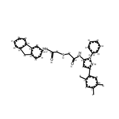 Cc1cc(C)c(-c2cc(NC(=O)CSCC(=O)Nc3ccc4c(c3)-c3ccccc3C4)n(-c3ccccc3)n2)cc1C